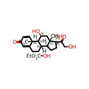 CCOC(=O)O.C[C@]12C=CC(=O)C=C1CC[C@@H]1[C@@H]2[C@@H](O)C[C@@]2(C)[C@H]1CC[C@]2(O)C(=O)CO